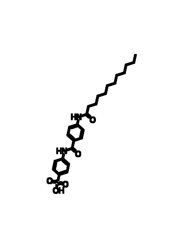 CCCCCCCCCCCC(=O)Nc1ccc(C(=O)Nc2ccc(S(=O)(=O)O)cc2)cc1